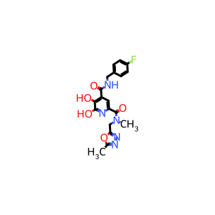 Cc1nnc(CN(C)C(=O)c2cc(C(=O)NCc3ccc(F)cc3)c(O)c(O)n2)o1